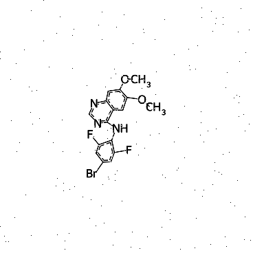 COc1cc2ncnc(Nc3c(F)cc(Br)cc3F)c2cc1OC